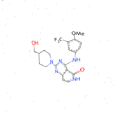 COc1ccc(Nc2nc(N3CCC(CO)CC3)nc3cc[nH]c(=O)c23)cc1C(F)(F)F